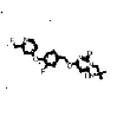 CC1(C)Cn2c(cc(OCc3ccc(Oc4ccnc(CF)c4)c(F)c3)nc2=O)N1